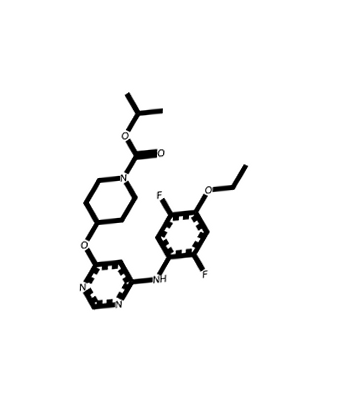 CCOc1cc(F)c(Nc2cc(OC3CCN(C(=O)OC(C)C)CC3)ncn2)cc1F